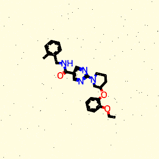 CCOc1ccccc1OC1CCCN(c2ncc(C(=O)NCc3ccccc3C)cn2)C1